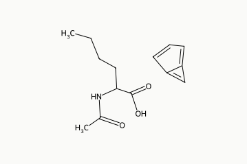 CCCCC(NC(C)=O)C(=O)O.c1cc2cc-2c1